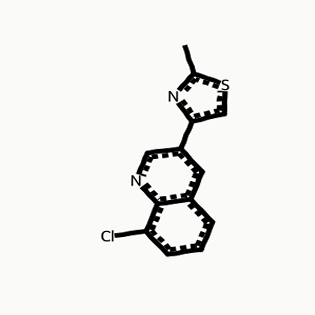 Cc1nc(-c2cnc3c(Cl)cccc3c2)cs1